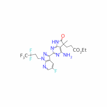 CCOC(=O)CCC1(C)C(=O)Nc2nc(-c3nn(CCC(F)(F)C(F)(F)F)c4ncc(F)cc34)nc(N)c21